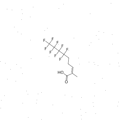 CC(=CCCC(F)(F)C(F)(F)C(F)(F)C(F)(F)F)C(=O)O